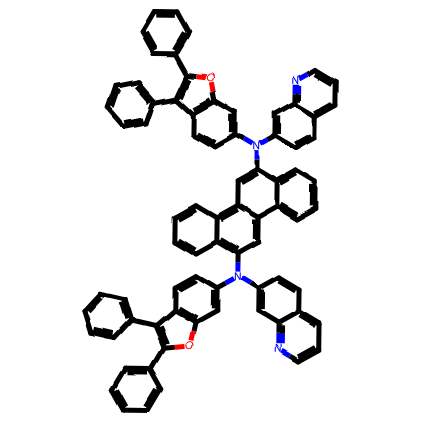 c1ccc(-c2oc3cc(N(c4ccc5cccnc5c4)c4cc5c6ccccc6c(N(c6ccc7cccnc7c6)c6ccc7c(-c8ccccc8)c(-c8ccccc8)oc7c6)cc5c5ccccc45)ccc3c2-c2ccccc2)cc1